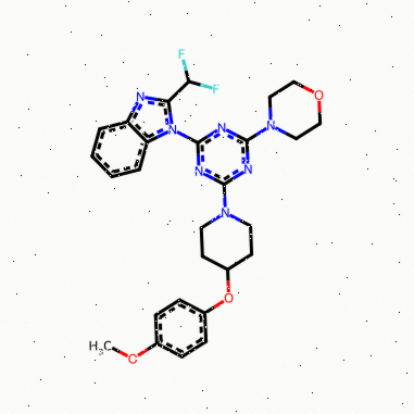 COc1ccc(OC2CCN(c3nc(N4CCOCC4)nc(-n4c(C(F)F)nc5ccccc54)n3)CC2)cc1